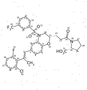 C/C(=C\c1ccc2c(c1)N(S(=O)(=O)c1cccc(C(F)(F)F)c1)C[C@H](CCC(=O)N1CCC[C@@H]1C(=O)O)O2)c1c(F)cccc1Cl